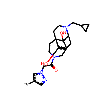 CC(C)c1cnn(CC(=O)N2CCC34CCN(CC5CC5)C(Cc5ccc(O)cc53)C4(O)CC2)c1